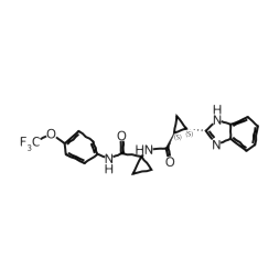 O=C(NC1(C(=O)Nc2ccc(OC(F)(F)F)cc2)CC1)[C@H]1C[C@@H]1c1nc2ccccc2[nH]1